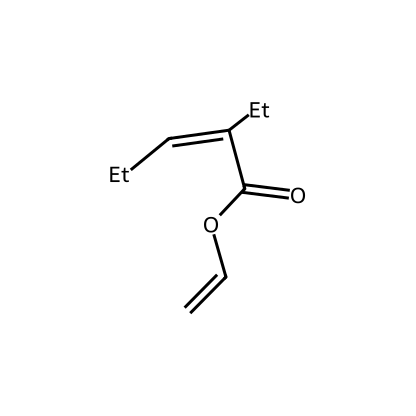 C=COC(=O)C(=CCC)CC